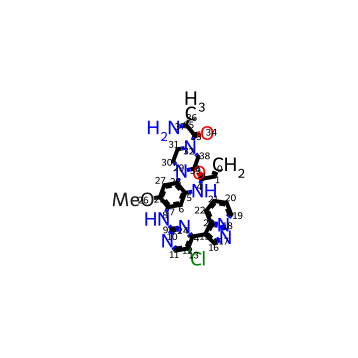 C=CC(=O)Nc1cc(Nc2ncc(Cl)c(-c3cnn4ccccc34)n2)c(OC)cc1N1CCN(C(=O)[C@H](C)N)CC1